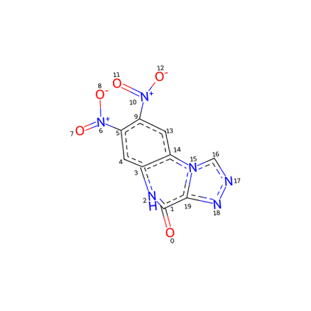 O=c1[nH]c2cc([N+](=O)[O-])c([N+](=O)[O-])cc2n2cnnc12